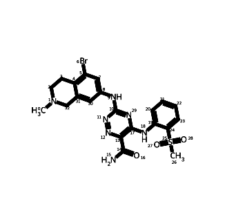 CN1CCc2c(Br)cc(Nc3nnc(C(N)=O)c(Nc4ccccc4S(C)(=O)=O)n3)cc2C1